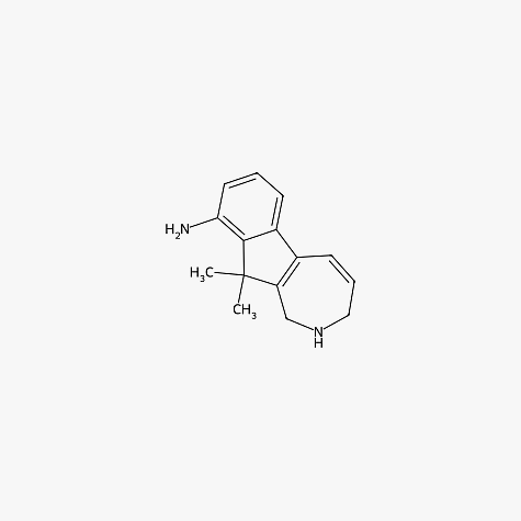 CC1(C)C2=C(C=CCNC2)c2cccc(N)c21